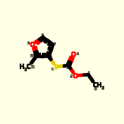 CCOC(=O)Sc1ccoc1C